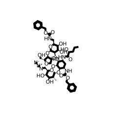 CCC[C@H](O)C(=O)N[C@@H]1C[C@H](NC(=O)OCc2ccccc2)[C@@H](O[C@H]2O[C@H](CN=[N+]=[N-])[C@@H](O)[C@H](O)[C@H]2C)[C@H](O[C@@H]2O[C@H](CO)[C@@H](O[C@H]3O[C@@H](CNC(=O)OCc4ccccc4)[C@@H](O)[C@H](O)[C@H]3C)[C@H]2O)[C@H]1O